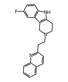 Fc1ccc2[nH]c3c(c2c1)CN(CCc1ccc2ccccc2n1)CC3